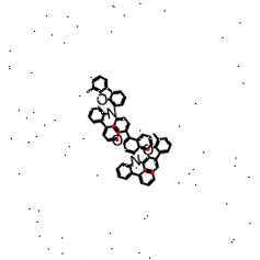 Cc1cccc2c1oc1c(N(c3ccc4c(c3)oc3cc(N(c5ccccc5-c5ccccc5)c5cccc6c5oc5c(C)cccc56)c5ccccc5c34)c3ccccc3-c3ccccc3)cccc12